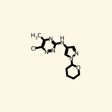 Cc1nc(Nc2cnn(C3CCCCO3)c2)nnc1Cl